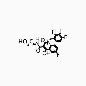 O=C(O)CNC(=O)c1c(O)c2cc(F)ccc2n(Cc2ccc(F)c(F)c2F)c1=O